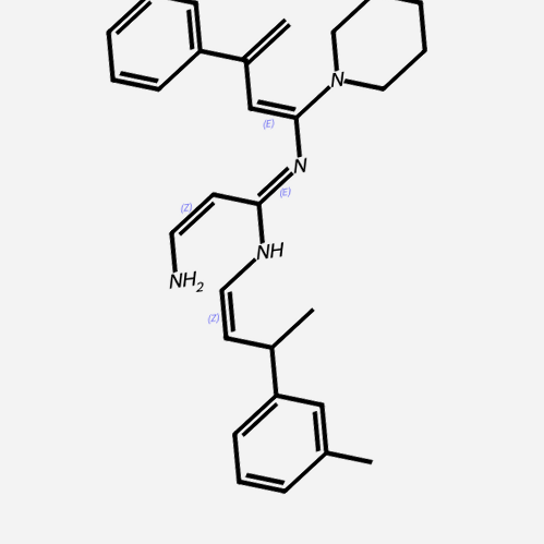 C=C(/C=C(/N=C(\C=C/N)N/C=C\C(C)c1cccc(C)c1)N1CCCCC1)c1ccccc1